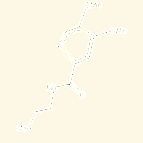 CNCCNC(=O)c1ccc(OC)c(OC)c1